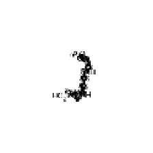 CCCS(=O)(=O)N1CCN(Cc2ccc(NC(=O)c3ccc(-c4ccc(-c5c[nH]c([C@@H]6CCCN6C(=O)[C@@H](NC(=O)O)C(C)C)n5)cc4)cc3)cc2)CC1